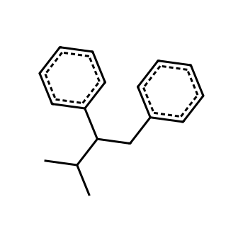 CC(C)C(Cc1ccccc1)c1ccccc1